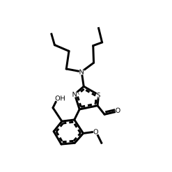 CCCCN(CCCC)c1nc(-c2c(CO)cccc2OC)c(C=O)s1